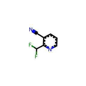 N#Cc1cccnc1C(F)F